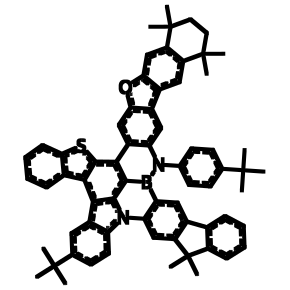 CC(C)(C)c1ccc(N2B3c4cc5c(cc4-n4c6ccc(C(C)(C)C)cc6c6c7c(sc8ccccc87)c(c3c64)-c3cc4oc6cc7c(cc6c4cc32)C(C)(C)CCC7(C)C)C(C)(C)c2ccccc2-5)cc1